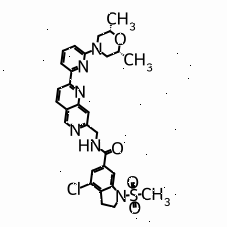 C[C@@H]1CN(c2cccc(-c3ccc4cnc(CNC(=O)c5cc(Cl)c6c(c5)N(S(C)(=O)=O)CC6)cc4n3)n2)C[C@H](C)O1